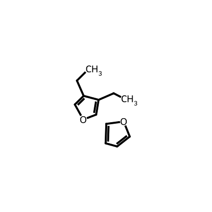 CCc1cocc1CC.c1ccoc1